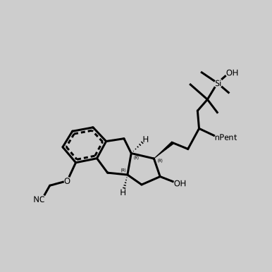 CCCCCC(CC[C@H]1C(O)C[C@H]2Cc3c(cccc3OCC#N)C[C@H]21)CC(C)(C)[Si](C)(C)O